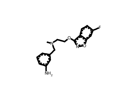 CN(CCOc1noc2cc(F)ccc12)Cc1cccc(N)c1